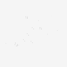 C=CC(=O)N[C@H]1CCCCC1Nc1ncc2c(n1)N(Cc1nccs1)C(=O)N(c1c(Cl)c(OC)cc(OC)c1Cl)C2